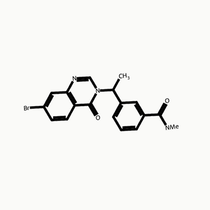 CNC(=O)c1cccc(C(C)n2cnc3cc(Br)ccc3c2=O)c1